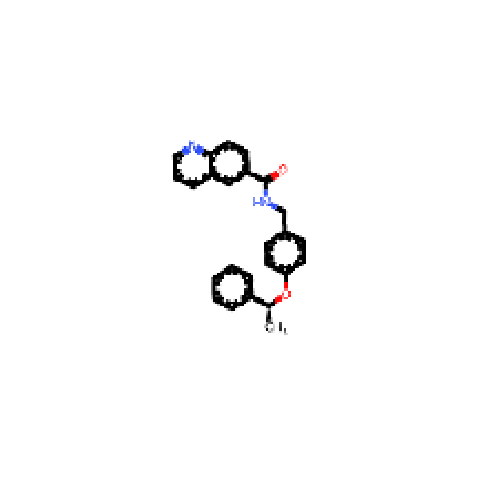 C[C@H](Oc1ccc(CNC(=O)c2ccc3ncccc3c2)cc1)c1ccccc1